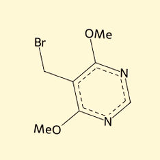 COc1ncnc(OC)c1CBr